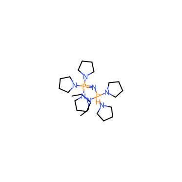 CCN(CC)[PH](N=P(N1CCCC1)(N1CCCC1)N1CCCC1)(N1CCCC1)N1CCCC1